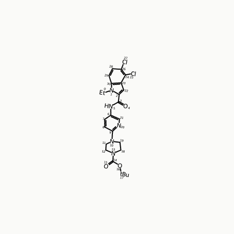 CCn1c(C(=O)Nc2ccc(N3CCN(C(=O)OC(C)(C)C)CC3)nc2)cc2c(Cl)c(Cl)ccc21